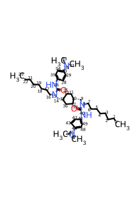 CCCCCCCCN(C[C@H]1CC[C@@H](CN(CCCCCCCC)C(=O)Nc2ccc(N(C)C)cc2)CC1)C(=O)Nc1ccc(N(C)C)cc1